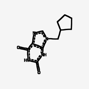 O=c1[nH]c(=O)c2ncn(CC3CCCC3)c2[nH]1